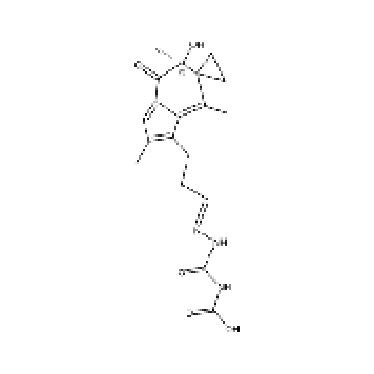 CC1=C(CCC=NNC(=O)NC(=O)O)C2=C(C)C3(CC3)[C@](C)(O)C(=O)C2=C1